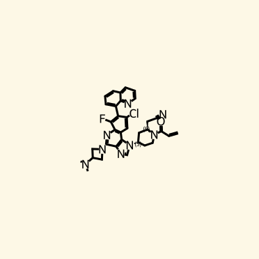 C=CC(=O)N1CC[C@H](n2cnc3c(N4CC(N(C)C)C4)nc4c(F)c(-c5cccc6cccnc56)c(Cl)cc4c32)C[C@H]1CC#N